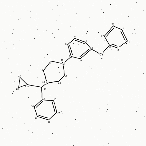 c1ccc(Oc2cccc(N3CCN(C(c4ccccc4)C4CC4)CC3)c2)cc1